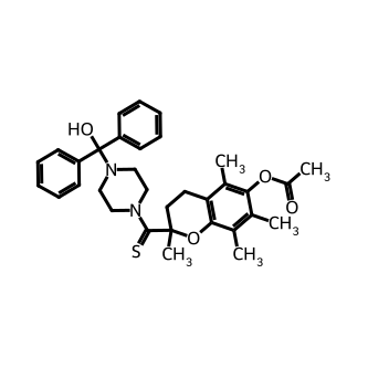 CC(=O)Oc1c(C)c(C)c2c(c1C)CCC(C)(C(=S)N1CCN(C(O)(c3ccccc3)c3ccccc3)CC1)O2